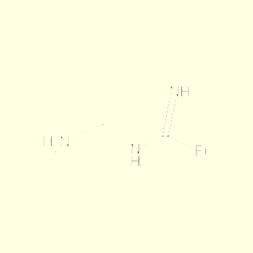 CCC(=N)NCN